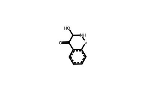 O=C1c2ccccc2SNC1O